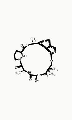 CC(C)C1NC(=O)C(C)(C)COc2cc3cc(ccc3cn2)[C@@H](C)OC(=O)[C@@H]2CCCN(N2)C(=O)[C@H](C)NC1=O